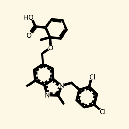 Cc1cc(COC2(C)C=CC=CC2C(=O)O)cc2c1nc(C)n2Cc1ccc(Cl)cc1Cl